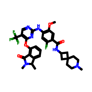 COc1cc(C(=O)NC2CC3(CCN(C)CC3)C2)c(F)cc1Nc1ncc(C(F)(F)F)c(Oc2cccc3c2C(=O)N(C)C3C)n1